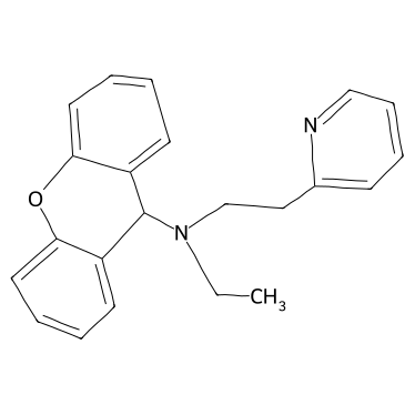 CCN(CCc1ccccn1)C1c2ccccc2Oc2ccccc21